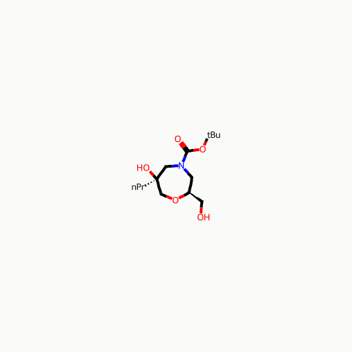 CCC[C@@]1(O)CO[C@H](CO)CN(C(=O)OC(C)(C)C)C1